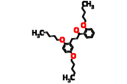 CCCCCOc1ccc(OCCCCC)c(CCC(=O)c2ccccc2OCCCCC)c1